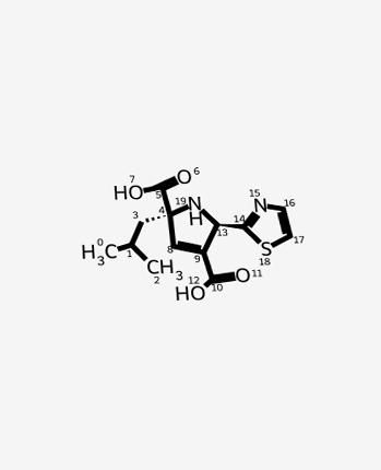 CC(C)C[C@@]1(C(=O)O)C=C(C(=O)O)[C@H](c2nccs2)N1